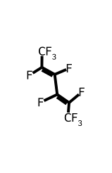 FC(/C(F)=C(\F)C(F)(F)F)=C(/F)C(F)(F)F